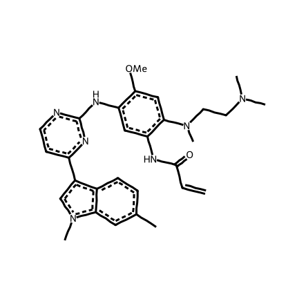 C=CC(=O)Nc1cc(Nc2nccc(-c3cn(C)c4cc(C)ccc34)n2)c(OC)cc1N(C)CCN(C)C